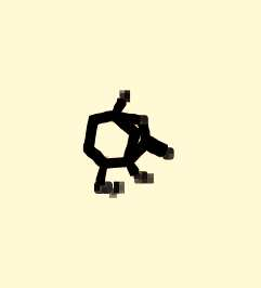 CC(C)(C)[C@]12C[C@H](CC[C@@H]1C(=O)O)OC2=O